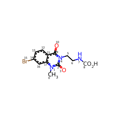 Cn1c(=O)n(CCNC(=O)O)c(=O)c2ccc(Br)cc21